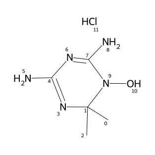 CC1(C)N=C(N)N=C(N)N1O.Cl